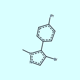 CC(C)c1ccc(-c2c(Br)cnn2C)cc1